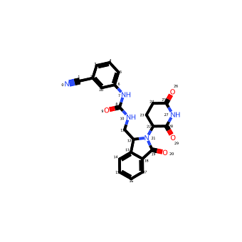 N#Cc1cccc(NC(=O)NCC2c3ccccc3C(=O)N2C2CCC(=O)NC2=O)c1